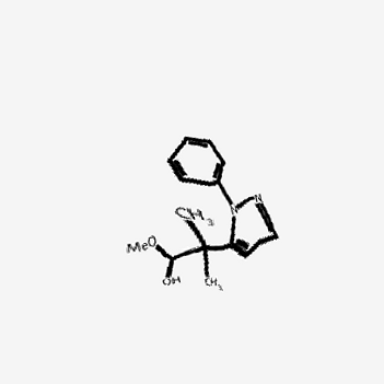 COC(O)C(C)(C)c1ccnn1-c1ccccc1